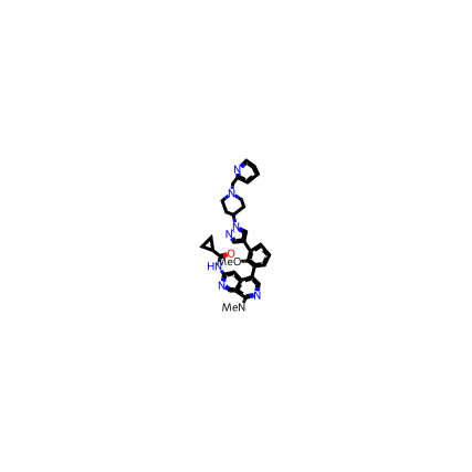 CNc1ncc(-c2cccc(-c3cnn(C4CCN(Cc5ccccn5)CC4)c3)c2OC)c2cc(NC(=O)C3CC3)ncc12